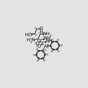 N=C=O.N=C=O.NCCN.OCCO.c1ccc(Cc2ccccc2)cc1